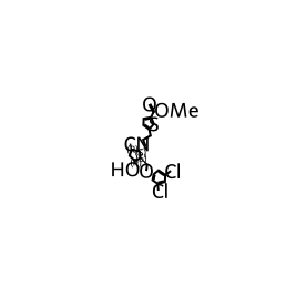 COC(=O)c1ccc(CCC[C@@H]2[C@@H](COc3cc(Cl)cc(Cl)c3)[C@H](O)C[C@H]2C#N)s1